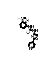 O=C(Nc1csc(-c2ccncc2)n1)Nc1cccc2[nH]cnc12